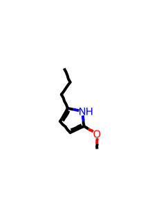 CCCc1ccc(OC)[nH]1